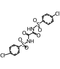 O=C(NS(=O)(=O)c1ccc(Cl)cc1)C(=O)NS(=O)(=O)c1ccc(Cl)cc1